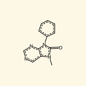 Cn1c(=O)n(-c2ccccc2)c2ncncc21